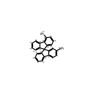 CC(C)c1ccc2c(c1)C1(c3ccccc3-2)c2ccccc2-c2c(C(C)C)cccc21